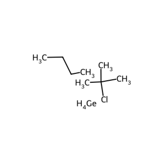 CC(C)(C)Cl.CCCC.[GeH4]